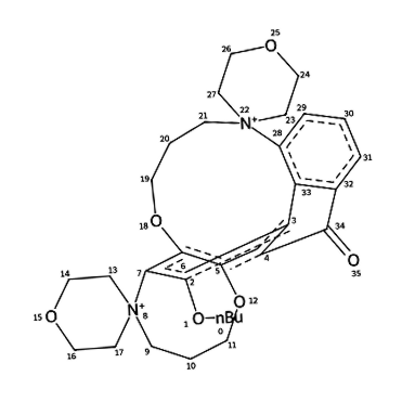 CCCCOc1c2c3c4c(c1[N+]1(CCCO4)CCOCC1)OCCC[N+]1(CCOCC1)c1cccc(c1-2)C3=O